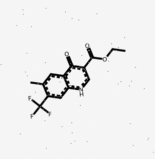 CCOC(=O)c1c[nH]c2cc(C(F)(F)F)c(C)cc2c1=O